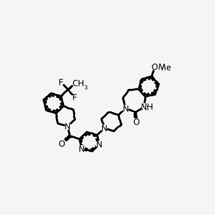 COc1ccc2c(c1)CCN(C1CCN(c3cc(C(=O)N4CCc5c(cccc5C(C)(F)F)C4)ncn3)CC1)C(=O)N2